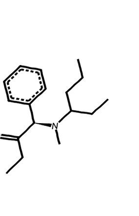 CCCC(CC)N(C)[C@@H](C(=O)CC)c1ccccc1